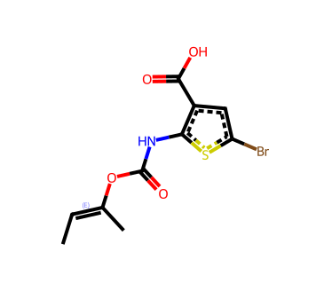 C/C=C(\C)OC(=O)Nc1sc(Br)cc1C(=O)O